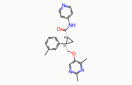 Cc1cccc([C@]2(COc3cnc(C)nc3C)C[C@H]2C(=O)Nc2ccncc2)c1